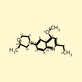 CCc1cc(OC)c2cc(N3CCOC(C)C3)ccc2n1